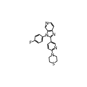 Fc1ccc(-n2c(-c3ccc(N4CCSCC4)nc3)nc3ccncc32)cc1